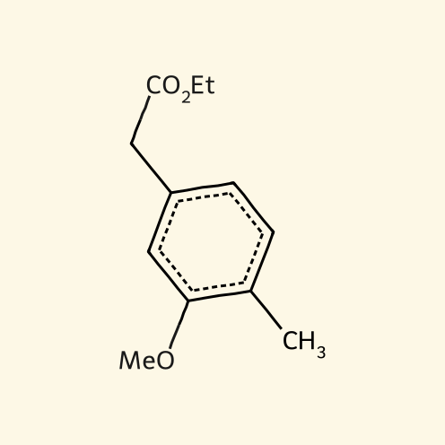 CCOC(=O)Cc1ccc(C)c(OC)c1